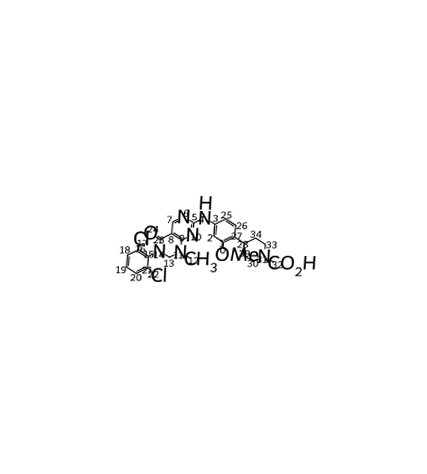 COc1cc(Nc2ncc3c(n2)N(C)CN(c2c(Cl)cccc2Cl)C3=O)ccc1C1CCN(C(=O)O)CC1